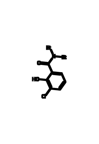 CCN(CC)C(=O)c1cccc(Cl)c1O